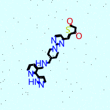 O=C1CC(=O)/C(=C/c2ccnc(N3CCC(CNCc4cccnc4-c4ccn[nH]4)CC3)n2)S1